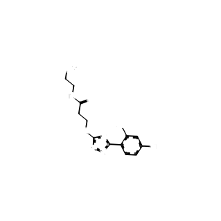 COCCNC(=O)CCSc1nnc(-c2ccc(Cl)cc2Cl)o1